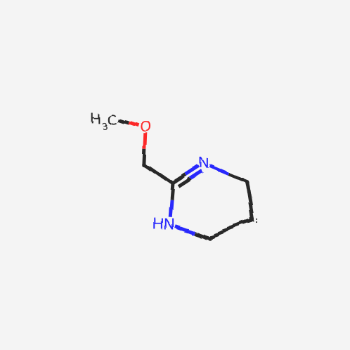 COCC1=NC[C]CN1